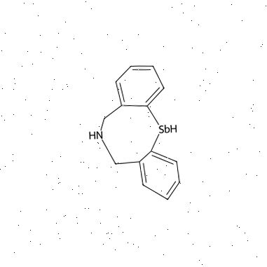 c1cc[c]2c(c1)CNCc1cccc[c]1[SbH]2